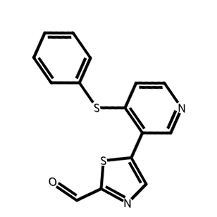 O=Cc1ncc(-c2cnccc2Sc2ccccc2)s1